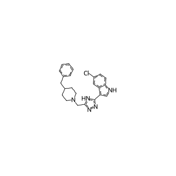 Clc1ccc2[nH]cc(-c3nnc(CN4CCC(Cc5ccccc5)CC4)[nH]3)c2c1